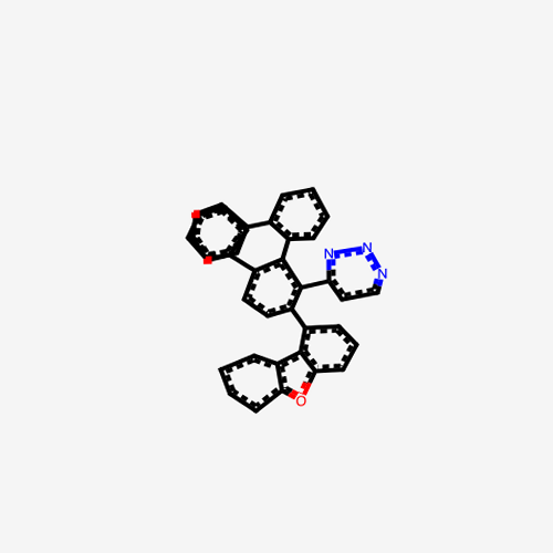 c1ccc(-c2ccccc2-c2c(-c3ccccc3)ccc(-c3cccc4oc5ccccc5c34)c2-c2ccnnn2)cc1